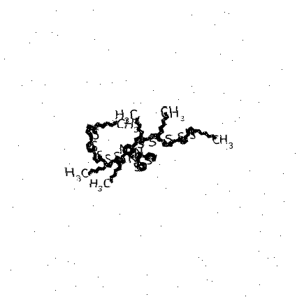 CCCCCCc1ccc(-c2ccc(-c3ccc(-c4sc(-c5sc(-c6cnc(-c7cc(CCCCCC)c(-c8cc(CCCCCC)c(-c9ccc(-c%10ccc(-c%11ccc(CCCCCC)s%11)s%10)s9)s8)s7)c7nc(-c8cccs8)c(-c8cccs8)nc67)cc5CCCCCC)cc4CCCCCC)s3)s2)s1